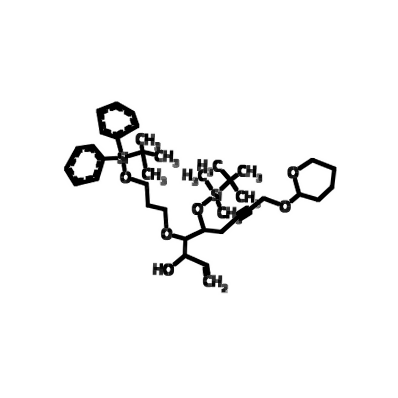 C=CC(O)C(OCCCO[Si](c1ccccc1)(c1ccccc1)C(C)(C)C)C(CC#CCOC1CCCCO1)O[Si](C)(C)C(C)(C)C